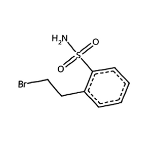 NS(=O)(=O)c1ccccc1CCBr